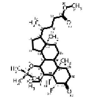 CC[C@H]1C(O[Si](C)(C)C)C2C3CCC([C@H](C)CCC(=O)OC)[C@@]3(C)CCC2[C@@]2(C)CCC(=O)[C@H](F)[C@@H]12